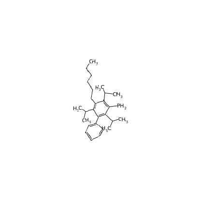 CCCCCCc1c(C(C)C)c(P)c(C(C)C)c(-c2ccccc2)c1C(C)C